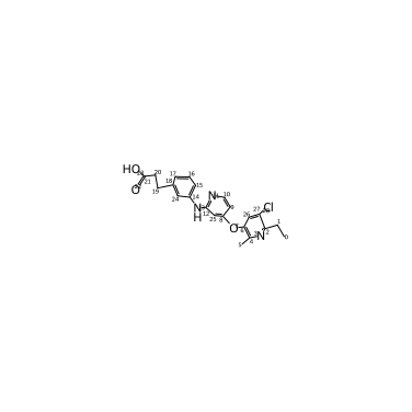 CCc1nc(C)c(Oc2ccnc(Nc3cccc(CCC(=O)O)c3)c2)cc1Cl